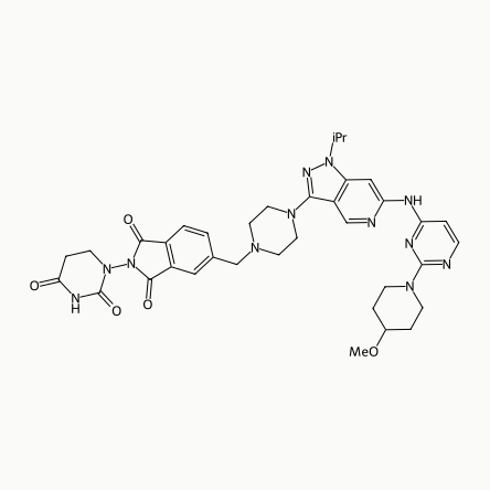 COC1CCN(c2nccc(Nc3cc4c(cn3)c(N3CCN(Cc5ccc6c(c5)C(=O)N(N5CCC(=O)NC5=O)C6=O)CC3)nn4C(C)C)n2)CC1